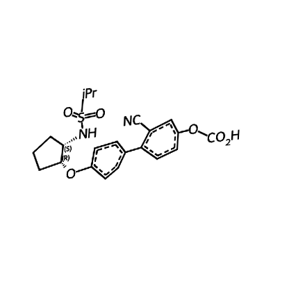 CC(C)S(=O)(=O)N[C@H]1CCC[C@H]1Oc1ccc(-c2ccc(OC(=O)O)cc2C#N)cc1